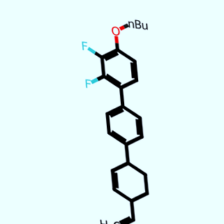 C=CC1C=CC(c2ccc(-c3ccc(OCCCC)c(F)c3F)cc2)CC1